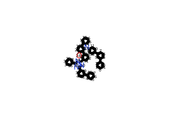 c1ccc(-c2cccc(-c3ccc(-n4c5ccccc5c5ccc6oc7c(-c8nc(-c9ccccc9)nc(-c9cccc(-c%10ccccc%10)c9)n8)cccc7c6c54)cc3)c2)cc1